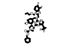 CCCOCn1c(CN(Cc2ccc(OC)cc2)c2nc(N3CCN(C(=O)OCc4ccccc4)CC3)nc3c(C4CC4(F)F)cnn23)nc2c(F)c(F)ccc21